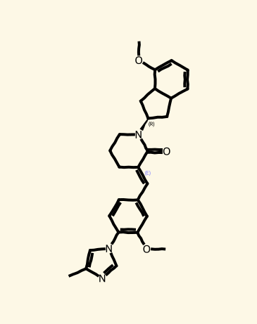 COC1=CC=CC2C[C@@H](N3CCC/C(=C\c4ccc(-n5cnc(C)c5)c(OC)c4)C3=O)CC12